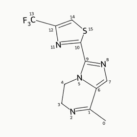 CC1=NCCn2c1cnc2-c1nc(C(F)(F)F)cs1